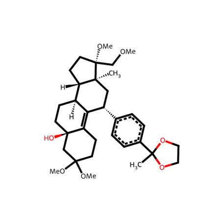 COC[C@]1(OC)CC[C@H]2[C@@H]3CC[C@@]4(O)CC(OC)(OC)CCC4=C3[C@@H](c3ccc(C4(C)OCCO4)cc3)C[C@@]21C